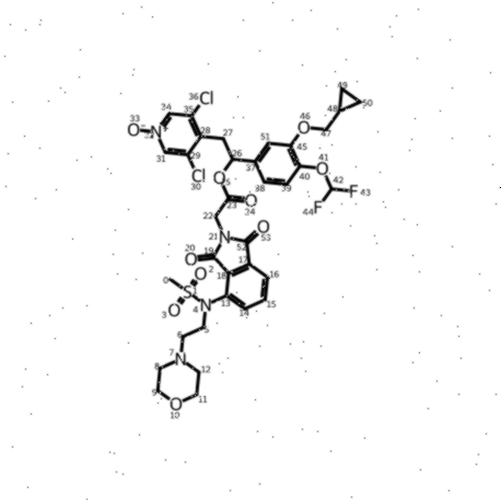 CS(=O)(=O)N(CCN1CCOCC1)c1cccc2c1C(=O)N(CC(=O)OC(Cc1c(Cl)c[n+]([O-])cc1Cl)c1ccc(OC(F)F)c(OCC3CC3)c1)C2=O